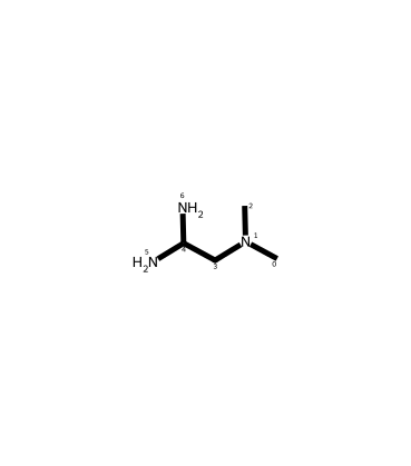 CN(C)CC(N)N